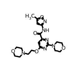 Cc1cc(NC(=O)c2cc(OCCN3CCOCC3)nc(N3CCOCC3)n2)no1